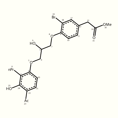 CCCc1c(OCC(O)COc2ccc(CC(=O)OC)cc2Br)ccc(C(C)=O)c1O